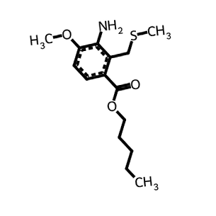 CCCCCOC(=O)c1ccc(OC)c(N)c1CSC